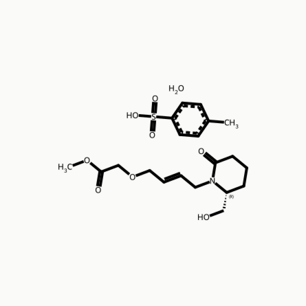 COC(=O)COCC=CCN1C(=O)CCC[C@@H]1CO.Cc1ccc(S(=O)(=O)O)cc1.O